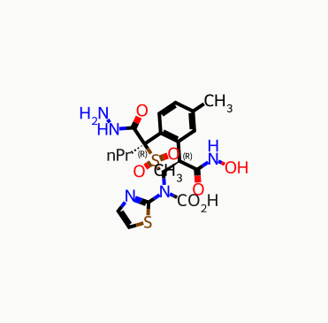 CCC[C@](C(=O)NN)(c1ccc(C)cc1[C@H](CN(C(=O)O)c1nccs1)C(=O)NO)S(C)(=O)=O